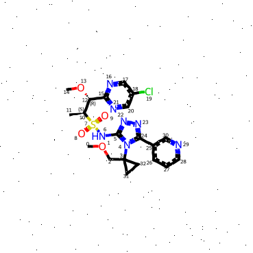 COCC1(n2c(NS(=O)(=O)[C@@H](C)[C@H](OC)c3ncc(Cl)cn3)nnc2-c2cccnc2)CC1